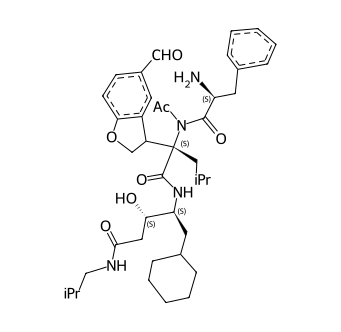 CC(=O)N(C(=O)[C@@H](N)Cc1ccccc1)[C@](CC(C)C)(C(=O)N[C@@H](CC1CCCCC1)[C@@H](O)CC(=O)NCC(C)C)C1COc2ccc(C=O)cc21